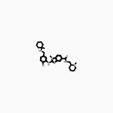 CN1CCCCC1CNC(=O)c1ccc2c(c1)nc(Nc1cc(CNC3(C)CCCCC3)ccc1Cl)n2C